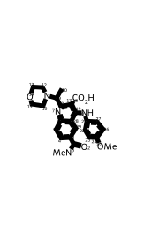 CNC(=O)c1ccc2nc(C(C)N3CCOCC3)c(C(=O)O)c(Nc3ccc(OC)cc3)c2c1